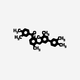 Cc1ccc(C(=O)c2ccc(C)c(Cc3cc(-c4ccc(C)c(C)c4)cc(C)c3C)c2)cc1C